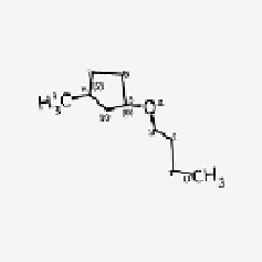 CCCCO[C@@H]1CC[C@H](C)C1